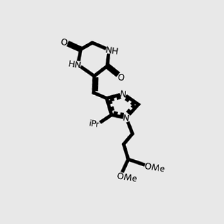 COC(CCn1cnc(C=C2NC(=O)CNC2=O)c1C(C)C)OC